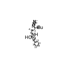 CC[C@H](C)C(C[C@@H](C)CNC(O)OCc1ccccc1)N=[N+]=[N-]